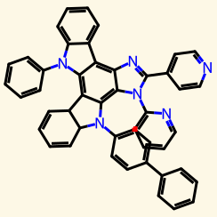 C1=CC2c3c(c4c(nc(-c5ccncc5)n4-c4ccccn4)c4c5ccccc5n(-c5ccccc5)c34)N(c3ccc(-c4ccccc4)cc3)C2C=C1